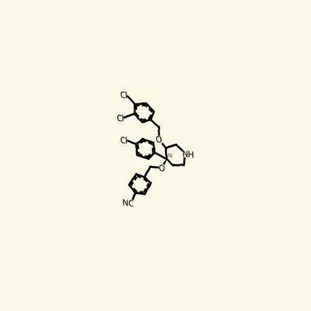 N#Cc1ccc(CO[C@]2(c3ccc(Cl)cc3)CCNCC2OCc2ccc(Cl)c(Cl)c2)cc1